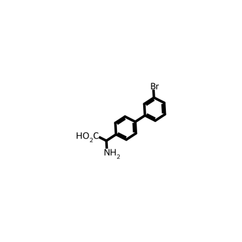 NC(C(=O)O)c1ccc(-c2cccc(Br)c2)cc1